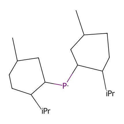 CC1CCC(C(C)C)C([P]C2CC(C)CCC2C(C)C)C1